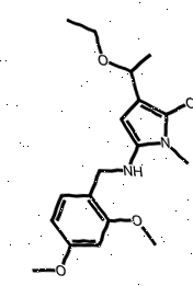 CCOC(C)c1cc(NCc2ccc(OC)cc2OC)n(C)c1Cl